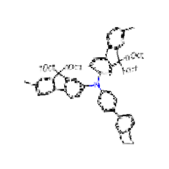 CCCCCCCCC1(CCCCCCCC)c2cc(C)ccc2-c2ccc(N(c3ccc(-c4ccc5c(c4)CC5)cc3)c3ccc4c(c3)C(CCCCCCCC)(CCCCCCCC)c3cc(C)ccc3-4)cc21